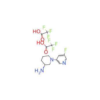 N[C@H]1CCCN(c2cncc(F)c2)C1.O=C(O)C(F)(F)F.O=C(O)C(F)(F)F